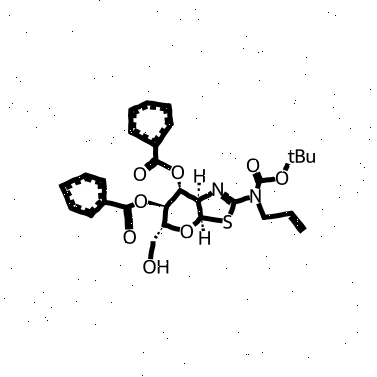 C=CCN(C(=O)OC(C)(C)C)C1=N[C@@H]2[C@@H](OC(=O)c3ccccc3)[C@H](OC(=O)c3ccccc3)[C@@H](CO)O[C@@H]2S1